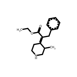 CCOC(=O)C(Cc1ccccc1)=C1CCNCC1C